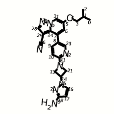 CC(C)COc1cc(-c2ccc(N3CC(n4ccc(N)n4)C3)nc2)c2c(C#N)cnn2c1